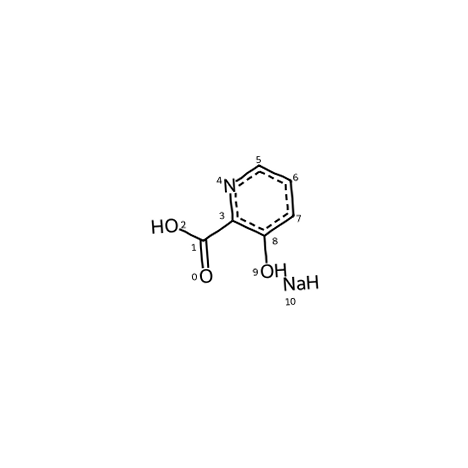 O=C(O)c1ncccc1O.[NaH]